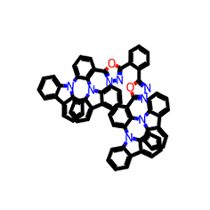 c1ccc(-c2nnc(-c3cccc(-n4c5ccccc5c5ccccc54)c3-n3c4ccccc4c4ccccc43)o2)c(-c2nnc(-c3cccc(-n4c5ccccc5c5ccccc54)c3-n3c4ccccc4c4ccccc43)o2)c1